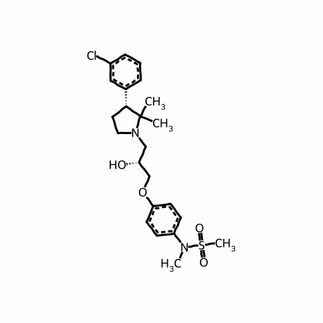 CN(c1ccc(OC[C@H](O)CN2CC[C@H](c3cccc(Cl)c3)C2(C)C)cc1)S(C)(=O)=O